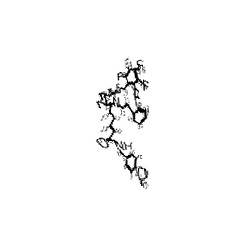 COc1ccc(CNC(=O)CCCCc2nnc(SCc3c(F)c(F)c(F)c(F)c3F)n2CCc2ccccc2)cc1